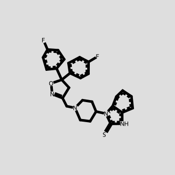 Fc1ccc(C2(c3ccc(F)cc3)CC(CN3CCC(n4c(=S)[nH]c5ccccc54)CC3)=NO2)cc1